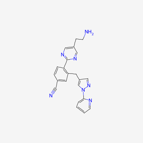 N#Cc1ccc(-c2ncc(CCN)cn2)c(Cc2cnn(-c3ccccn3)c2)c1